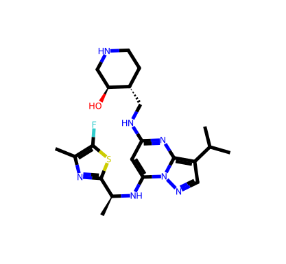 Cc1nc([C@H](C)Nc2cc(NC[C@H]3CCNC[C@@H]3O)nc3c(C(C)C)cnn23)sc1F